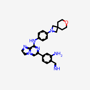 N=Cc1ccc(-c2cn3ccnc3c(Nc3ccc(N4CC5(CCOCC5)C4)cc3)n2)cc1N